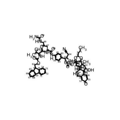 CCCC1O[C@@H]2C[C@H]3[C@@H]4CCC5=CC(=O)C=C[C@]5(C)[C@H]4[C@@H](O)C[C@]3(C)[C@]2(C(=O)COP(=O)(OCCC#N)OCc2ccc(NC(=O)[C@H](CCCNC(N)=O)NC(=O)[C@@H](NC(=O)OCC3c4ccccc4-c4ccccc43)C(C)C)cc2)O1